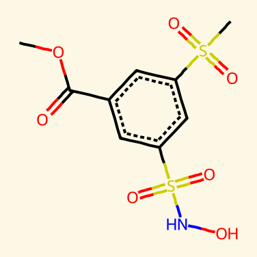 COC(=O)c1cc(S(C)(=O)=O)cc(S(=O)(=O)NO)c1